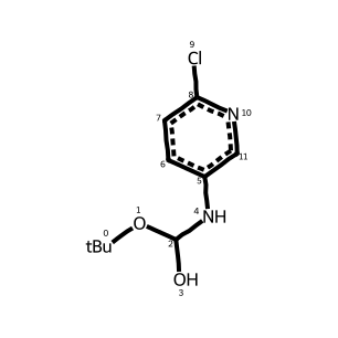 CC(C)(C)OC(O)Nc1ccc(Cl)nc1